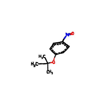 CC(C)(C)Oc1ccc(N=O)cc1